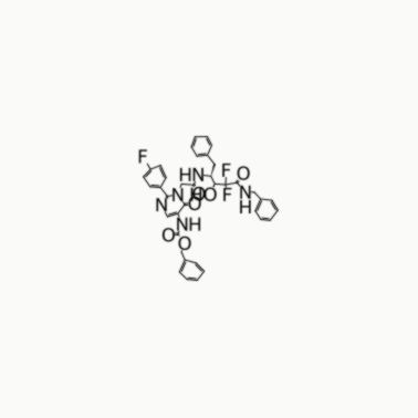 O=C(Cn1c(-c2ccc(F)cc2)ncc(NC(=O)OCc2ccccc2)c1=O)N[C@@H](Cc1ccccc1)[C@H](O)C(F)(F)C(=O)NCc1ccccc1